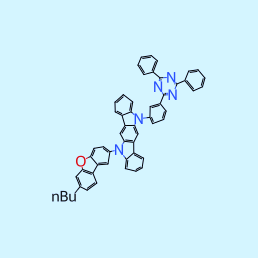 CCCCc1ccc2c(c1)oc1ccc(-n3c4ccccc4c4cc5c(cc43)c3ccccc3n5-c3cccc(-c4nc(-c5ccccc5)nc(-c5ccccc5)n4)c3)cc12